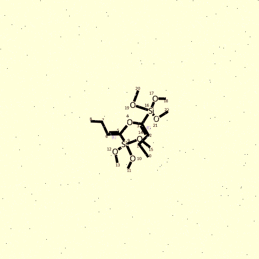 CC/C=C(\O/C(=C\CC)[Si](OC)(OC)OC)[Si](OC)(OC)OC